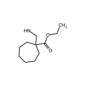 CCOC(=O)C1(C[NH])CCCCCC1